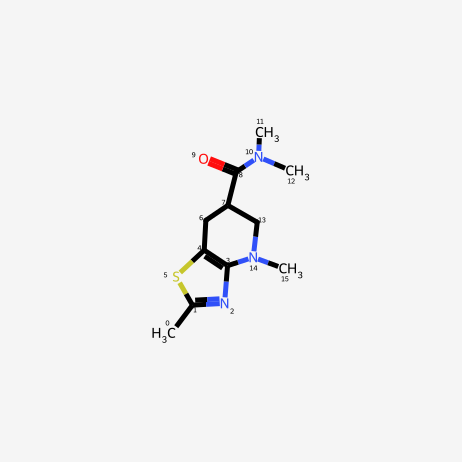 Cc1nc2c(s1)CC(C(=O)N(C)C)CN2C